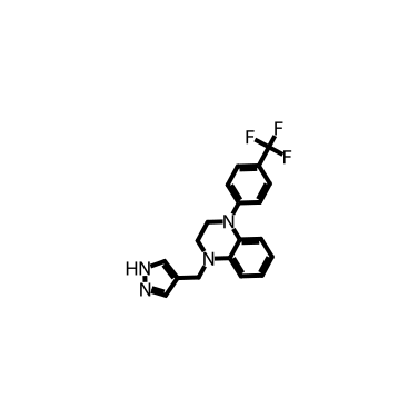 FC(F)(F)c1ccc(N2CCN(Cc3cn[nH]c3)c3ccccc32)cc1